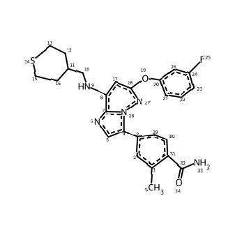 Cc1cc(-c2cnc3c(NCC4CCSCC4)cc(Oc4cccc(F)c4)nn23)ccc1C(N)=O